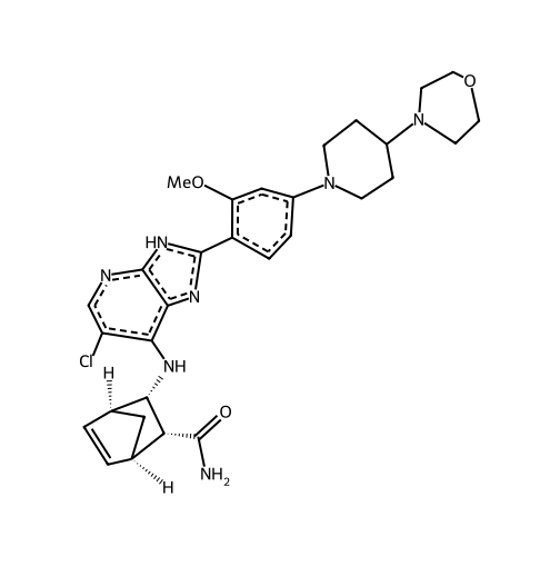 COc1cc(N2CCC(N3CCOCC3)CC2)ccc1-c1nc2c(N[C@@H]3[C@H](C(N)=O)[C@H]4C=C[C@@H]3C4)c(Cl)cnc2[nH]1